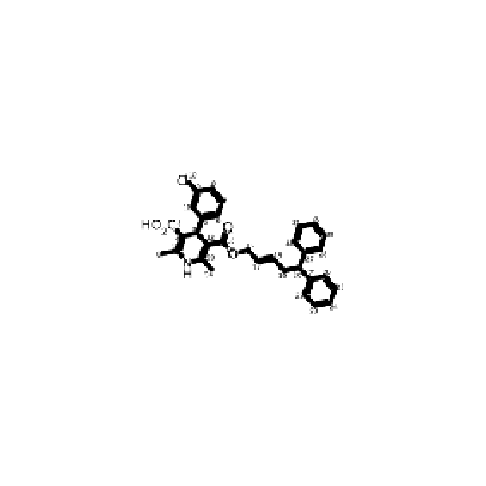 CC1=C(C(=O)O)C(c2cccc(Cl)c2)C(C(=O)OC/C=C/CC(c2ccccc2)c2ccccc2)=C(C)N1